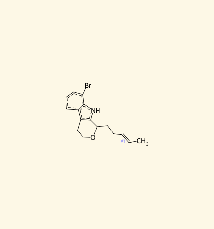 C/C=C/CCC1OCCc2c1[nH]c1c(Br)cccc21